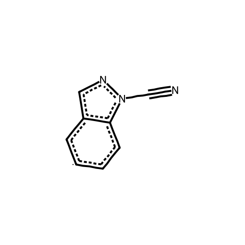 N#Cn1ncc2c[c]ccc21